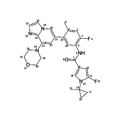 Cc1cc(F)c(NC(=O)c2cc(F)n(C3(C)CC3)c2)cc1-c1cc(N2CCOCC2)c2nccn2c1